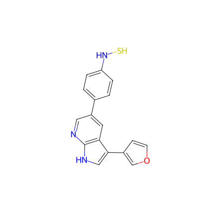 SNc1ccc(-c2cnc3[nH]cc(-c4ccoc4)c3c2)cc1